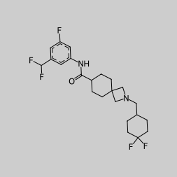 O=C(Nc1cc(F)cc(C(F)F)c1)C1CCC2(CC1)CN(CC1CCC(F)(F)CC1)C2